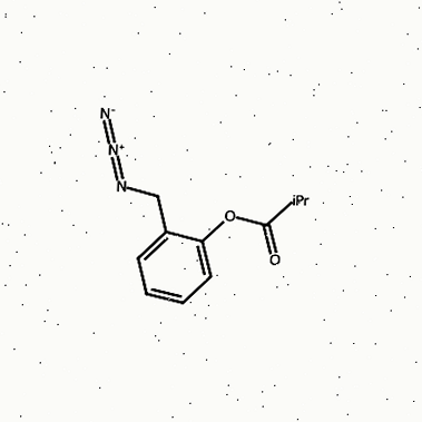 CC(C)C(=O)Oc1ccccc1CN=[N+]=[N-]